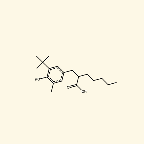 CCCCCC(Cc1cc(C)c(O)c(C(C)(C)C)c1)C(=O)O